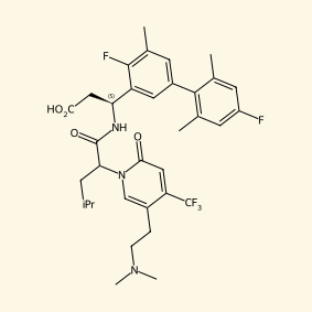 Cc1cc(-c2c(C)cc(F)cc2C)cc([C@H](CC(=O)O)NC(=O)C(CC(C)C)n2cc(CCN(C)C)c(C(F)(F)F)cc2=O)c1F